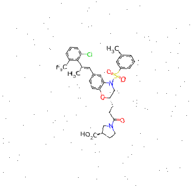 C/C(=C\c1ccc2c(c1)N(S(=O)(=O)c1cccc(C)c1)C[C@H](CCC(=O)N1CC[C@@H](C(=O)O)C1)O2)c1c(Cl)cccc1C(F)(F)F